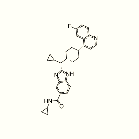 O=C(NC1CC1)c1ccc2[nH]c([C@H](C3CC3)[C@H]3CC[C@@H](c4ccnc5ccc(F)cc54)CC3)nc2c1